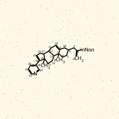 C=C(CCCCCCCCC)CC1CCC2(C)C(=CCC3C2CCC2(C)C(c4cccnc4)=CCC32)C1